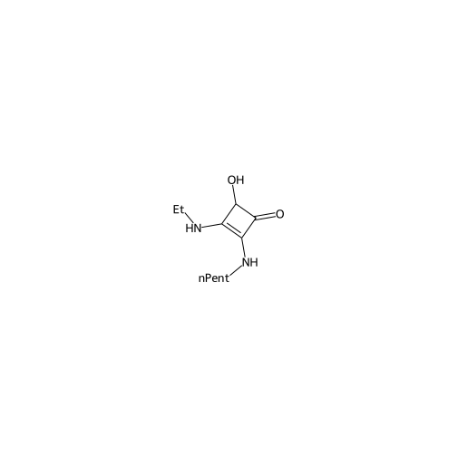 CCCCCNC1=C(NCC)C(O)C1=O